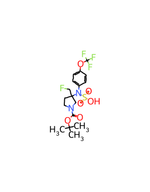 CC(C)(C)OC(=O)N1CCC(CF)(N(c2ccc(OC(F)(F)F)cc2)S(=O)(=O)O)C1